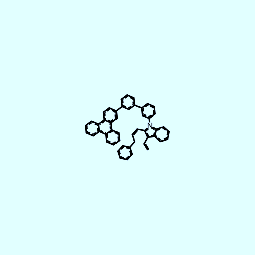 C=Cc1c(/C=C\Cc2ccccc2)n(-c2cccc(-c3cccc(-c4ccc5c6ccccc6c6ccccc6c5c4)c3)c2)c2ccccc12